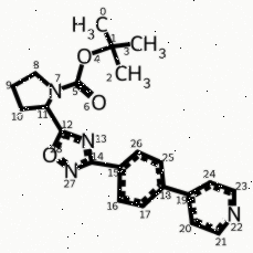 CC(C)(C)OC(=O)N1CCCC1c1nc(-c2ccc(-c3ccncc3)cc2)no1